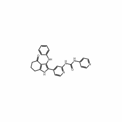 O=C(Nc1ccncc1)Nc1cc(-c2[nH]c3c(c2Nc2ccccc2)C(=O)CCC3)ccn1